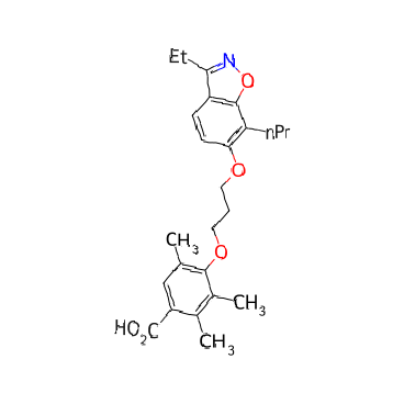 CCCc1c(OCCCOc2c(C)cc(C(=O)O)c(C)c2C)ccc2c(CC)noc12